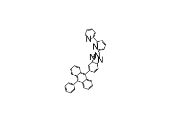 c1ccc(-c2c3ccccc3c(-c3ccc4nn(-c5cccc(-c6ccccn6)n5)nc4c3)c3ccccc23)cc1